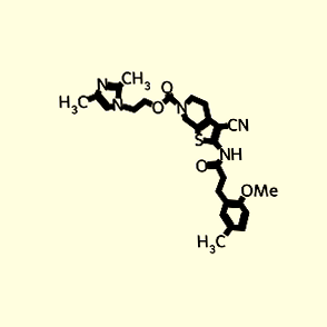 COc1ccc(C)cc1CCC(=O)Nc1sc2c(c1C#N)CCN(C(=O)OCCn1cc(C)nc1C)C2